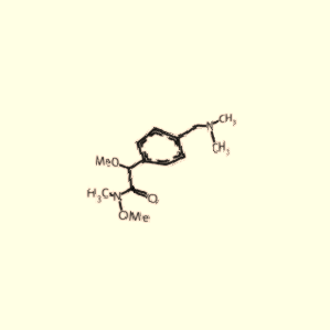 COC(C(=O)N(C)OC)c1ccc(CN(C)C)cc1